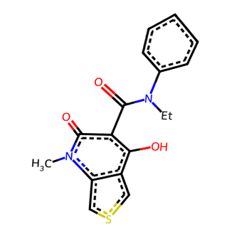 CCN(C(=O)c1c(O)c2cscc2n(C)c1=O)c1ccccc1